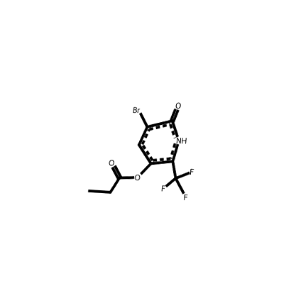 CCC(=O)Oc1cc(Br)c(=O)[nH]c1C(F)(F)F